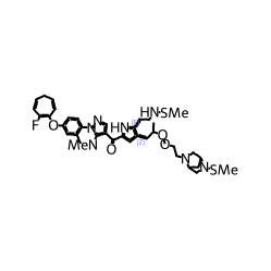 CNc1c(C(=O)c2cc(=C/C(C)OOCCN3CC4CC3CN4SC)/c(=C\CNSC)[nH]2)cnn1-c1ccc(OC2=C(F)C=CCC=C2)cc1C